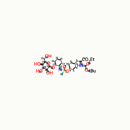 CCOC(=O)[C@H](Cc1ccc(OS(=O)(F)=Nc2ccccc2O[C@@H]2O[C@H](CO)[C@H](O)[C@H](O)[C@H]2O)cc1)NC(=O)OC(C)(C)C